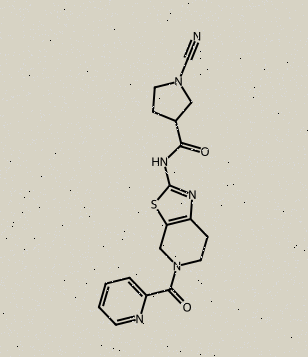 N#CN1CCC(C(=O)Nc2nc3c(s2)CN(C(=O)c2ccccn2)CC3)C1